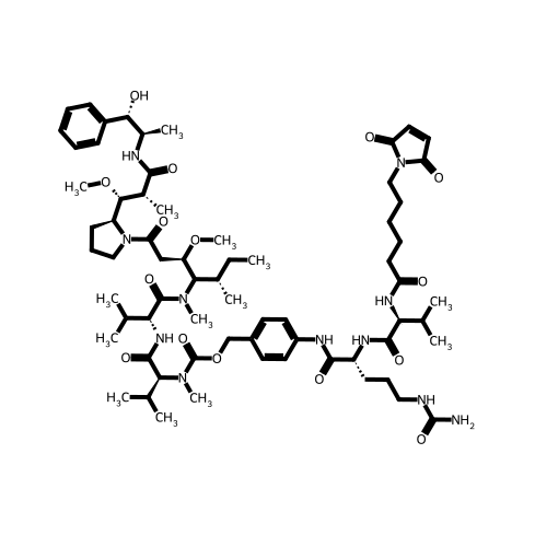 CC[C@H](C)C([C@@H](CC(=O)N1CCC[C@H]1[C@H](OC)[C@@H](C)C(=O)N[C@H](C)[C@@H](O)c1ccccc1)OC)N(C)C(=O)[C@H](NC(=O)[C@H](C(C)C)N(C)C(=O)OCc1ccc(NC(=O)[C@@H](CCCNC(N)=O)NC(=O)[C@@H](NC(=O)CCCCCN2C(=O)C=CC2=O)C(C)C)cc1)C(C)C